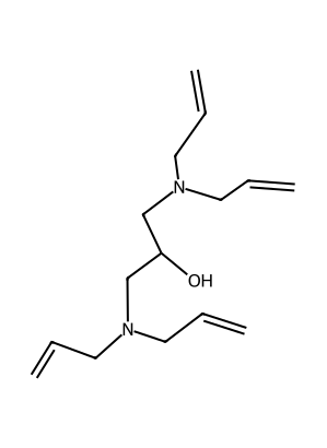 C=CCN(CC=C)CC(O)CN(CC=C)CC=C